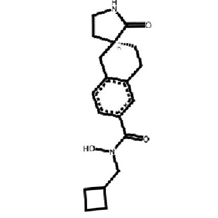 O=C(c1ccc2c(c1)CC[C@@]1(CCNC1=O)C2)N(O)CC1CCC1